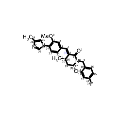 COc1cc(/C=C2/C(=O)N(Cc3ccc(F)cc3)[C@H](C)C[C@H]2C)ccc1-n1cnc(C)c1